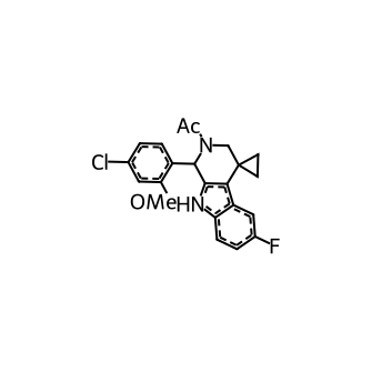 COc1cc(Cl)ccc1C1c2[nH]c3ccc(F)cc3c2C2(CC2)CN1C(C)=O